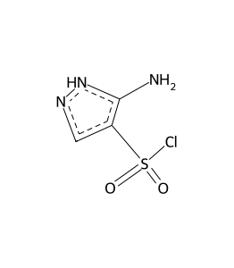 Nc1[nH]ncc1S(=O)(=O)Cl